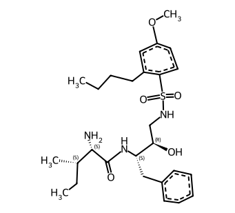 CCCCc1cc(OC)ccc1S(=O)(=O)NC[C@@H](O)[C@H](Cc1ccccc1)NC(=O)[C@@H](N)[C@@H](C)CC